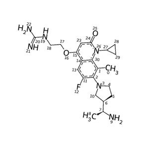 Cc1c(N2CC[C@@H]([C@H](C)N)C2)c(F)cc2c(OCCNC(=N)N)cc(=O)n(C3CC3)c12